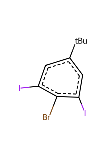 CC(C)(C)c1cc(I)c(Br)c(I)c1